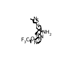 C#CC12CN(c3cc(C)ns3)CC1C2(N)c1nc2c(O[C@H](C)C(F)(F)F)nccn2n1